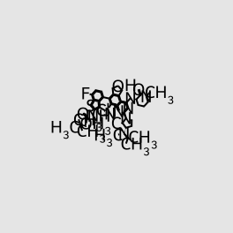 CC(C)N(C)[C@H]1CCN(c2nc(N[C@@H]3CCCN(C)C3=O)c3c4c(c(-c5ccc(F)c6sc(NC(=O)OC(C)(C)C)c(C#N)c56)c(Cl)c3n2)COC4)[C@H]1C